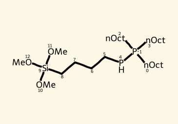 CCCCCCCC[P](CCCCCCCC)(CCCCCCCC)PCCCC[Si](OC)(OC)OC